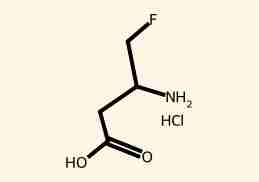 Cl.NC(CF)CC(=O)O